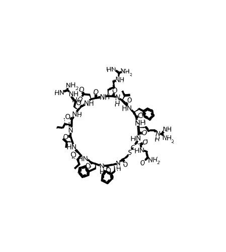 CC[C@H](C)[C@@H]1NC(=O)[C@H](Cc2ccccc2)NC(=O)[C@H](Cc2ccccc2)NC(=O)CSC[C@@H](C(=O)NCC(N)=O)NC(=O)[C@H](CCCNC(=N)N)NC(=O)[C@H](Cc2ccccc2)NC(=O)[C@H](C(C)C)NC(=O)[C@H](CCCNC(=N)N)NC(=O)[C@H](CC(=O)O)NC(=O)[C@H](CCCNC(=N)N)NC(=O)[C@H]([C@@H](C)CC)NC(=O)[C@H](C(C)C)NC1=O